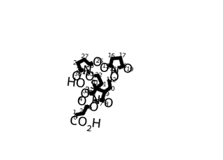 O=C(O)CCC(=O)ON1C(=O)C(CCON2C(=O)CCC2=O)C(CCON2C(=O)CCC2=O)(S(=O)(=O)O)C1=O